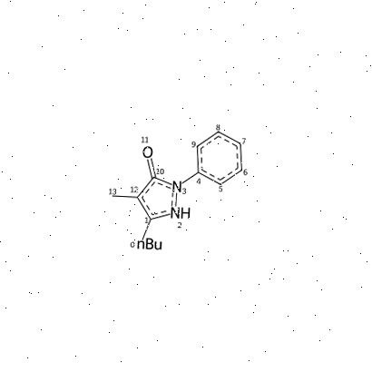 CCCCc1[nH]n(-c2ccccc2)c(=O)c1C